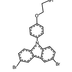 CC(C)CCOc1ccc(-n2c3ccc(Br)cc3c3cc(Br)ccc32)cc1